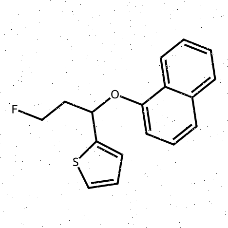 FCCC(Oc1cccc2ccccc12)c1cccs1